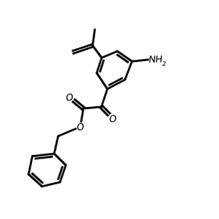 C=C(C)c1cc(N)cc(C(=O)C(=O)OCc2ccccc2)c1